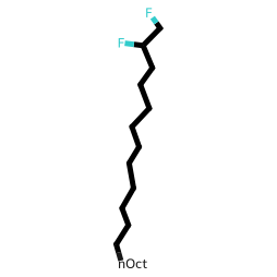 CCCCCCCCCCCCCCCCCCC(F)CF